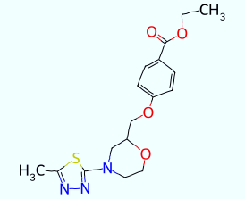 CCOC(=O)c1ccc(OCC2CN(c3nnc(C)s3)CCO2)cc1